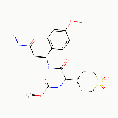 CNC(=O)CC(NC(=O)C(NC(=O)OC)C1CCS(=O)(=O)CC1)c1ccc(OC)cc1